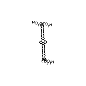 O=C(O)OCCCCCCCCCCCc1c(CCCCCCCCCCCOC(=O)O)c2cccc3c(CCCCCCCCCCCOC(=O)O)c(CCCCCCCCCCCOC(=O)O)c4cccc1c4c23